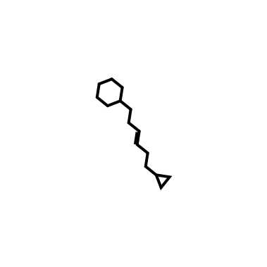 C(=C\CCC1CC1)/CCC1CCCCC1